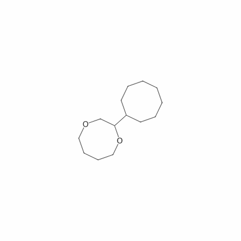 C1CCCC(C2COCCCCO2)CCC1